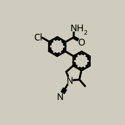 CC1c2cccc(-c3ccc(Cl)cc3C(N)=O)c2CN1C#N